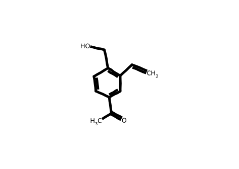 C=Cc1cc(C(C)=O)ccc1CO